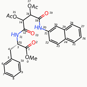 COC(=O)[C@H](Cc1ccccc1)NC(=O)C(OC(C)=O)C(OC(C)=O)C(=O)Nc1ccc2ccccc2c1